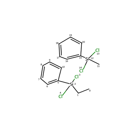 CC[Si](Cl)(Cl)c1ccccc1.C[Si](Cl)(Cl)c1ccccc1